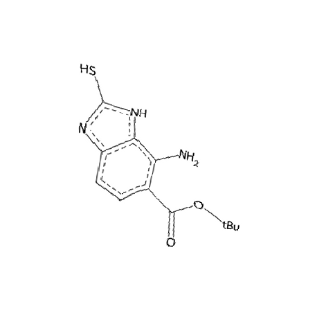 CC(C)(C)OC(=O)c1ccc2nc(S)[nH]c2c1N